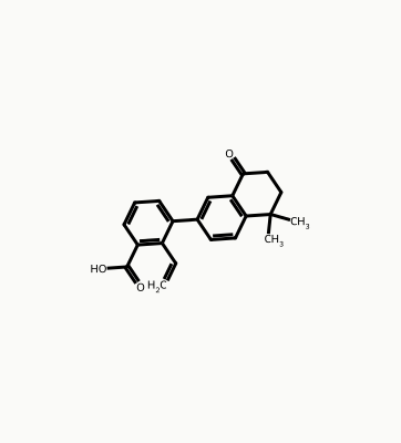 C=Cc1c(C(=O)O)cccc1-c1ccc2c(c1)C(=O)CCC2(C)C